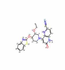 CCOC1CN(c2cc(=O)n(C)c3ccc(C#N)nc23)CCC1Oc1nc2ccccc2s1